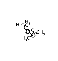 COC(=O)C1(c2ccc(CC(C)C)cc2)OC1C